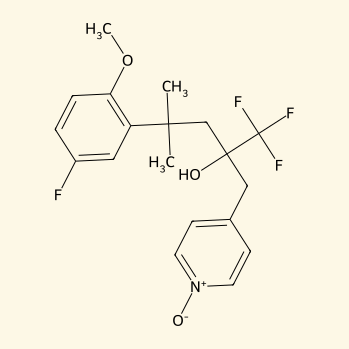 COc1ccc(F)cc1C(C)(C)CC(O)(Cc1cc[n+]([O-])cc1)C(F)(F)F